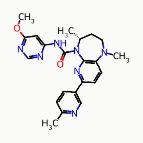 COc1cc(NC(=O)N2c3nc(-c4ccc(C)nc4)ccc3N(C)CC[C@H]2C)ncn1